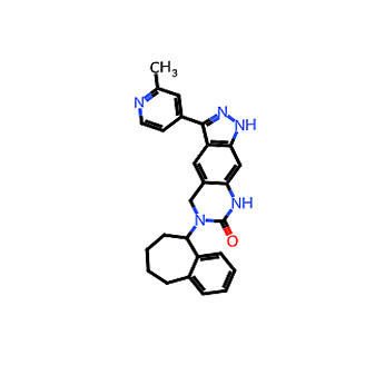 Cc1cc(-c2n[nH]c3cc4c(cc23)CN(C2CCCCc3ccccc32)C(=O)N4)ccn1